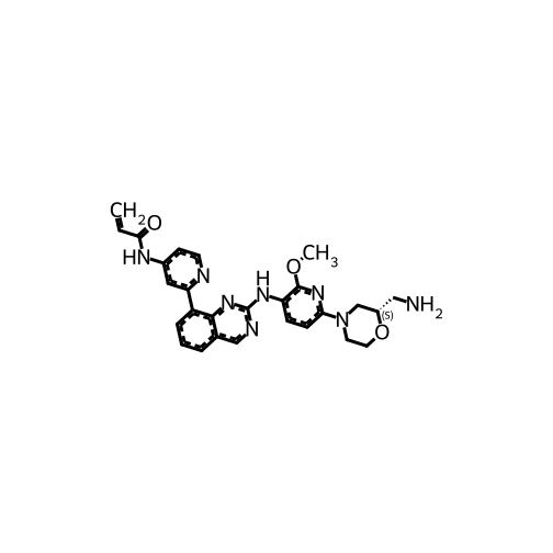 C=CC(=O)Nc1ccnc(-c2cccc3cnc(Nc4ccc(N5CCO[C@@H](CN)C5)nc4OC)nc23)c1